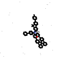 Cc1ccc(-c2ccc3c(c2)C(C)(C)c2cc(N(c4ccc(-c5ccccc5)cc4)c4ccc(-c5ccc6c(c5)C5(c7ccccc7-c7ccc(-c8ccc(C(CC(C)C)C(C)C)cc8)cc75)c5ccccc5-6)cc4)ccc2-3)cc1